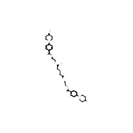 O=C1CCN(c2ccc(C(=O)NCCOC(=O)CCCC(=O)OCCNC(=O)c3ccc(N4CCC(=O)CC4)cc3)cc2)CC1